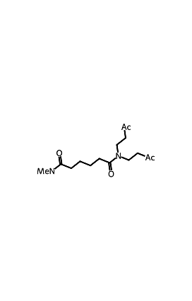 CNC(=O)CCCCC(=O)N(CCC(C)=O)CCC(C)=O